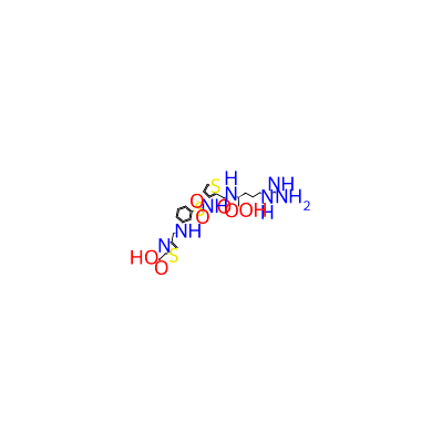 N=C(N)NCCC[C@H](NC(=O)c1sccc1NS(=O)(=O)c1cccc(NCc2csc(C(=O)O)n2)c1)C(=O)O